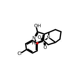 O=S(=O)(c1ccc(Cl)cc1)N1C2CCCC1c1c(O)n[nH]c1C2